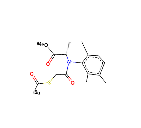 CCC(C)C(=O)SCC(=O)N(c1c(C)ccc(C)c1C)[C@@H](C)C(=O)OC